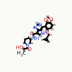 C[C@H](O)C(=O)N1CCC[C@H](NC(=O)c2c[nH]c3c(-c4c(OCC5CC5)ccc5c4OCO5)ncnc23)C1